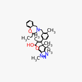 CC[C@@H]1CN(Cc2cc([C@H]([C@@H](C)C(=O)O)C3(C)CC=c4c(nnn4C)=C3C)ccc2C)Cc2ccccc2O1